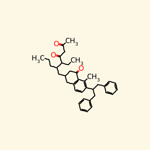 CCCC(CC1CC(=O)c2c(ccc(C(Cc3ccccc3)Cc3ccccc3)c2C)C1)C(CC)C(=O)CC(C)=O